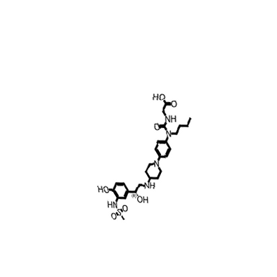 CCCCN(C(=O)NCC(=O)O)c1ccc(N2CCC(NC[C@H](O)c3ccc(O)c(NS(C)(=O)=O)c3)CC2)cc1